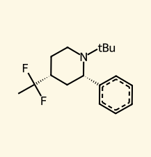 CC(F)(F)[C@@H]1CCN(C(C)(C)C)[C@H](c2ccccc2)C1